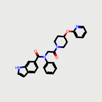 O=C(CN(C(=O)c1ccc2cc[nH]c2c1)c1ccccc1)N1CCC(Oc2ccccn2)CC1